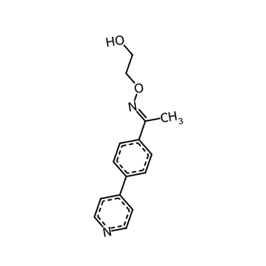 CC(=NOCCO)c1ccc(-c2ccncc2)cc1